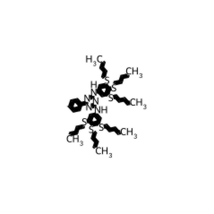 CCCCCSc1cc(Nc2nc(Nc3cc(SCCCCC)c(SCCCCC)c(SCCCCC)c3)nc(-c3cc[c]cc3)n2)cc(SCCCCC)c1SCCCCC